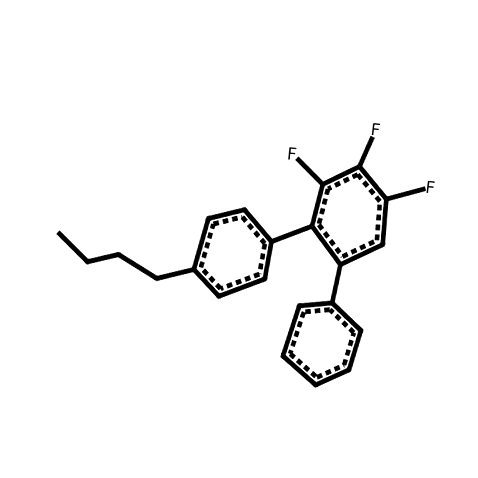 CCCCc1ccc(-c2c(-c3ccccc3)cc(F)c(F)c2F)cc1